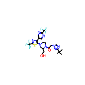 CC(C)(C)c1ncn(CC(=O)N2CCN(c3sc(C(F)(F)F)nc3-c3cnc(C(F)(F)F)nc3)CC2CCO)n1